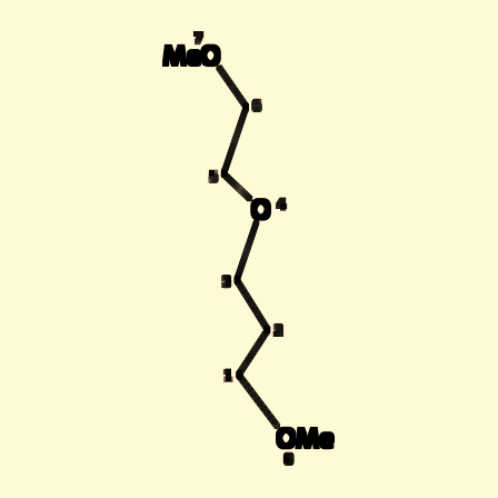 COCCCOCCOC